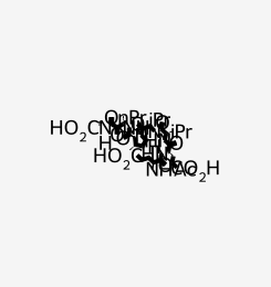 CCC[C@H](NC(=O)[C@@H]1[C@@H](C)CCN1C(=O)[C@@H](NC(=O)[C@@H](NC(=O)[C@H](CCC(=O)O)NC(=O)[C@H](CCC(=O)O)NC(C)=O)C(C)C)C(C)C)C(=O)C(=O)NCC(=O)O